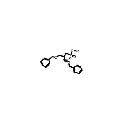 COP(=O)(CC(COCc1ccccc1)COCc1ccccc1)OC